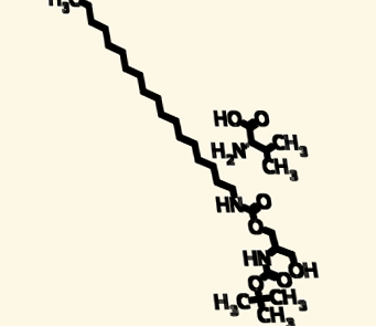 CC(C)[C@H](N)C(=O)O.CCCCCCCCCCCCCCCCCCNC(=O)OCC(CO)NC(=O)OC(C)(C)C